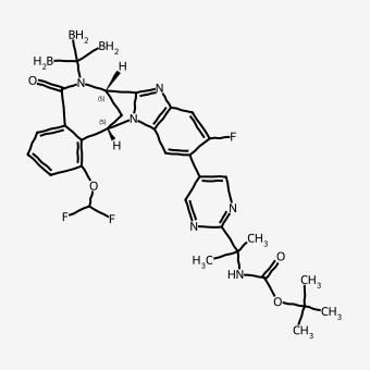 BC(B)(B)N1C(=O)c2cccc(OC(F)F)c2[C@@H]2C[C@H]1c1nc3cc(F)c(-c4cnc(C(C)(C)NC(=O)OC(C)(C)C)nc4)cc3n12